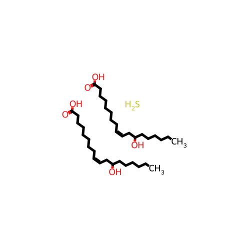 CCCCCCC(O)C/C=C\CCCCCCCC(=O)O.CCCCCCC(O)C/C=C\CCCCCCCC(=O)O.S